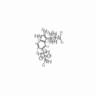 [2H]c1[nH]c2ccc(C([2H])([2H])S(=O)(=O)NC)cc2c1C([2H])([2H])C([2H])([2H])N(C)C